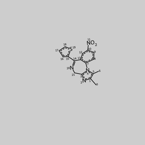 Cc1nc2n(c1C)-c1ccc([N+](=O)[O-])cc1C(c1cccs1)=NC2